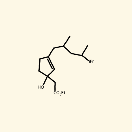 CCOC(=O)CC1(O)C=C(CC(C)CC(C)C(C)C)CC1